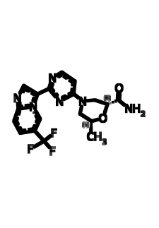 C[C@H]1CN(c2ccnc(-c3cnc4ccc(C(F)(F)F)cn34)n2)C[C@H](C(N)=O)O1